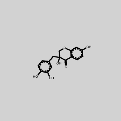 O=C1c2ccc(O)cc2OCC1(O)Cc1ccc(O)c(O)c1